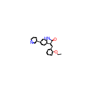 CCOc1ccccc1/C=C1/C(=O)Nc2cc(-c3cccnc3)ccc21